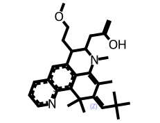 C=C(O)CC1C(CCOC)c2cc3cccnc3c3c2C(=C(C)/C(=C\C(C)(C)C)C3(C)C)N1C